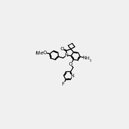 COc1ccc(CN2C(=O)C3(CCC3)c3cc(N)cc(OCc4ccc(F)cn4)c32)cc1